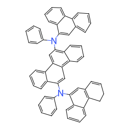 C1=Cc2cc(N(c3ccccc3)c3cc4c5ccccc5c(N(c5ccccc5)c5cc6ccccc6c6ccccc56)cc4c4ccccc34)c3ccccc3c2CC1